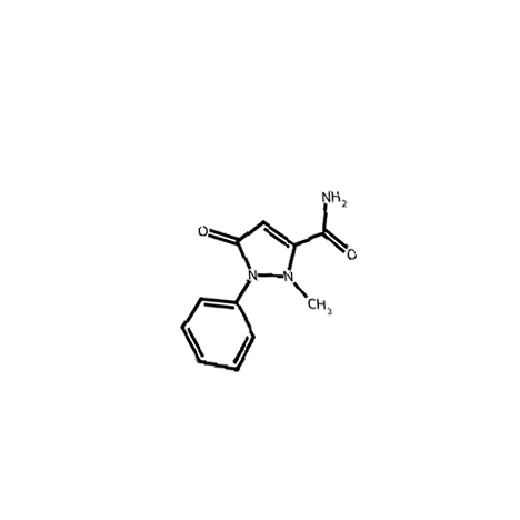 Cn1c(C(N)=O)cc(=O)n1-c1ccccc1